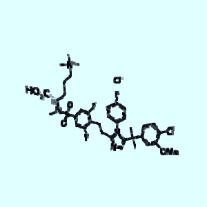 COc1cc(C(C)(C)c2cnc(CCc3c(F)cc(S(=O)(=O)N(C)[C@@H](CCC[N+](C)(C)C)C(=O)O)cc3F)n2-c2ccc(F)cc2)ccc1Cl.[Cl-]